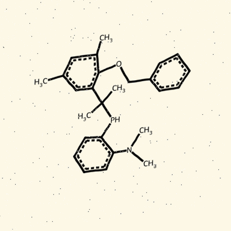 Cc1cc(C)c(OCc2ccccc2)c(C(C)(C)Pc2ccccc2N(C)C)c1